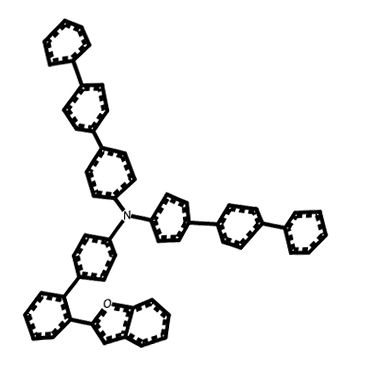 c1ccc(-c2ccc(-c3ccc(N(c4ccc(-c5ccc(-c6ccccc6)cc5)cc4)c4ccc(-c5ccccc5-c5cc6ccccc6o5)cc4)cc3)cc2)cc1